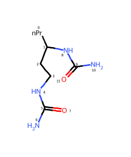 CCCC(CCNC(N)=O)NC(N)=O